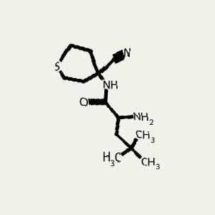 CC(C)(C)CC(N)C(=O)NC1(C#N)CCSCC1